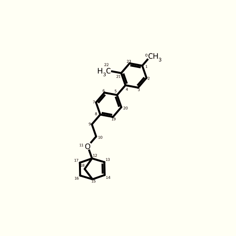 Cc1ccc(-c2ccc(CCOC34C=CC(CC3)C4)cc2)c(C)c1